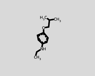 CCNc1ccc(OCC(C)C)cc1